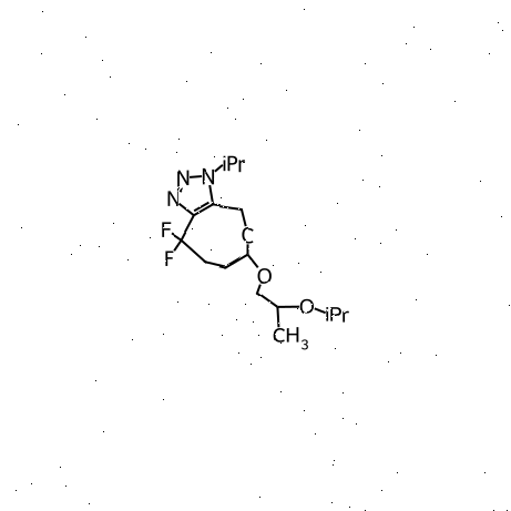 CC(C)OC(C)COC1CCc2c(nnn2C(C)C)C(F)(F)CC1